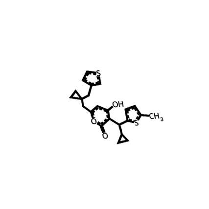 Cc1ccc(C(c2c(O)cc(CC3(Cc4ccsc4)CC3)oc2=O)C2CC2)s1